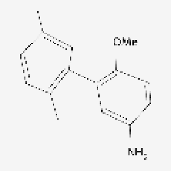 COc1ccc(N)cc1-c1cc(C)ccc1C